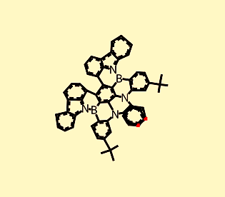 CC(C)(C)c1ccc2c(c1)N(c1ccccc1)c1c3c(c4c5c1N(c1ccccc1)c1cc(C(C)(C)C)ccc1B5n1c5ccccc5c5cccc-4c51)-c1cccc4c5ccccc5n(c14)B23